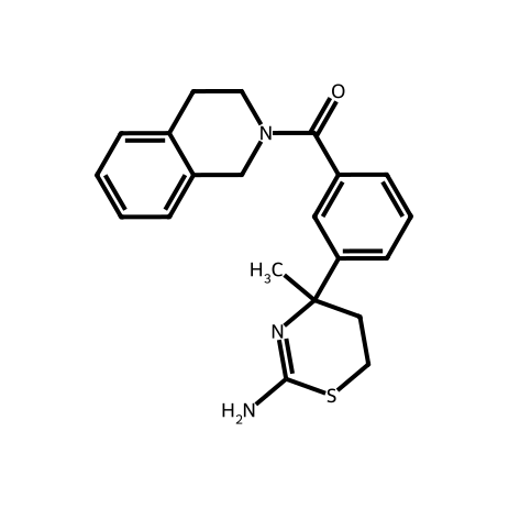 CC1(c2cccc(C(=O)N3CCc4ccccc4C3)c2)CCSC(N)=N1